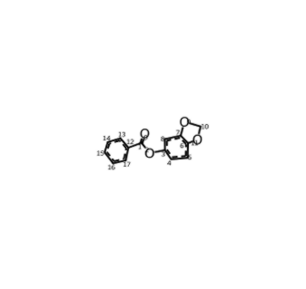 O=C(Oc1ccc2c(c1)OCO2)c1ccccc1